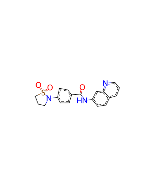 O=C(Nc1ccc2cccnc2c1)c1ccc(N2CCCS2(=O)=O)cc1